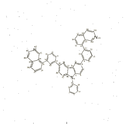 c1ccc(-n2c3ccc(-c4cccc(-c5cccc6ccncc56)c4)cc3c3cc(-c4cccc(-c5cccc6ccncc56)c4)ccc32)cc1